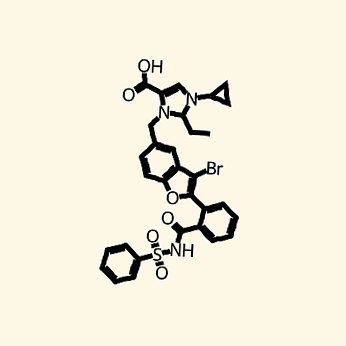 CCC1N(Cc2ccc3oc(-c4ccccc4C(=O)NS(=O)(=O)c4ccccc4)c(Br)c3c2)C(C(=O)O)=CN1C1CC1